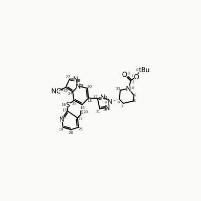 CC(C)(C)OC(=O)N1CCC[C@H](n2ncc(-c3cc(Sc4ncccc4F)c4c(C#N)cnn4c3)n2)C1